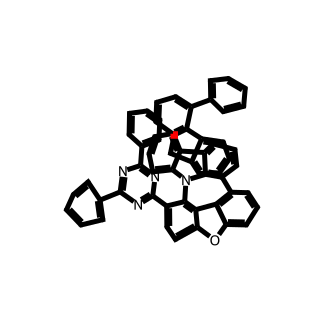 c1ccc(-c2nc(-c3ccccc3)nc(-c3ccc4oc5cccc(-c6ccc7c(c6)Cc6cccc(-c8ccccc8)c6-7)c5c4c3-n3c4ccccc4c4ccccc43)n2)cc1